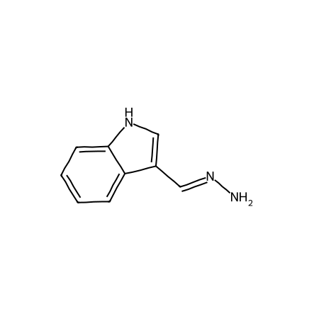 NN=Cc1c[nH]c2ccccc12